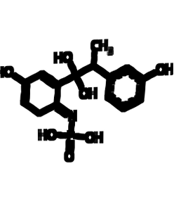 CC(c1cccc(O)c1)C(O)(O)C1=CC(O)=CCC1=NP(=O)(O)O